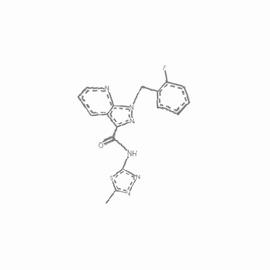 Cc1nnc(NC(=O)c2nn(Cc3ccccc3F)c3ncccc23)s1